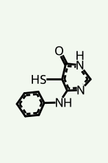 O=c1[nH]cnc(Nc2ccccc2)c1S